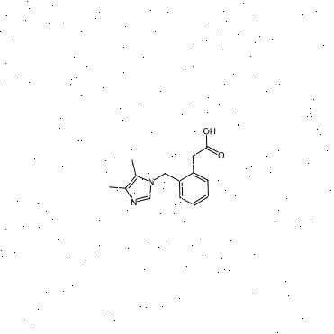 Cc1ncn(Cc2ccccc2CC(=O)O)c1C